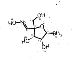 B[C@@H]1O[C@](/C=N/O)(CO)[C@@H](O)[C@H]1O